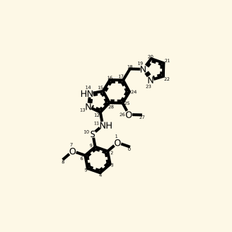 COc1cccc(OC)c1SNc1n[nH]c2cc(Cn3cccn3)cc(OC)c12